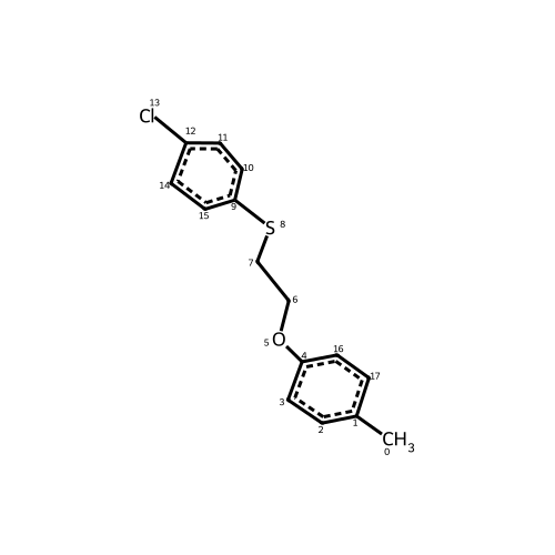 Cc1ccc(OCCSc2ccc(Cl)cc2)cc1